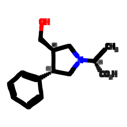 C[C@H](C(=O)O)N1C[C@H](CO)[C@@H](c2ccccc2)C1